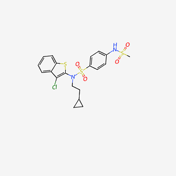 CS(=O)(=O)Nc1ccc(S(=O)(=O)N(CCC2CC2)c2sc3ccccc3c2Cl)cc1